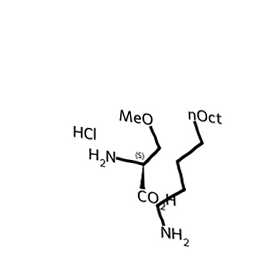 CCCCCCCCCCCCN.COC[C@H](N)C(=O)O.Cl